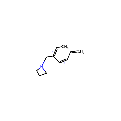 C=C/C=C\C(=C/C)CN1CCC1